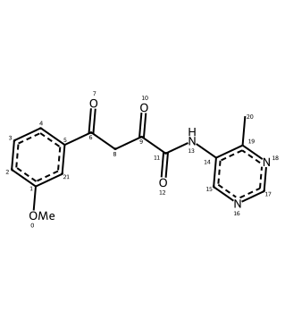 COc1cccc(C(=O)CC(=O)C(=O)Nc2cncnc2C)c1